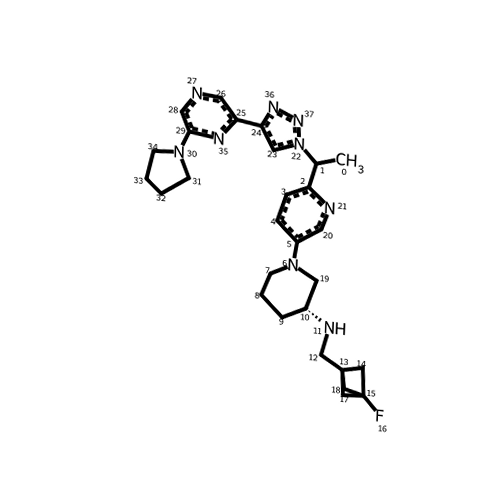 CC(c1ccc(N2CCC[C@@H](NCC34CC(F)(C3)C4)C2)cn1)n1cc(-c2cncc(N3CCCC3)n2)nn1